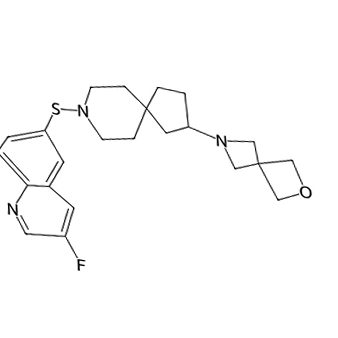 Fc1cnc2ccc(SN3CCC4(CCC(N5CC6(COC6)C5)C4)CC3)cc2c1